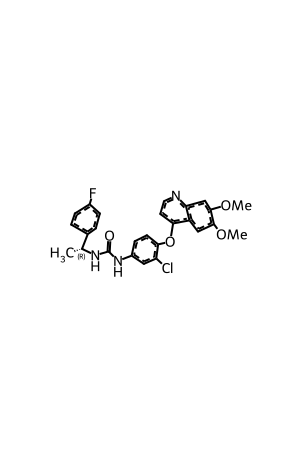 COc1cc2nccc(Oc3ccc(NC(=O)N[C@H](C)c4ccc(F)cc4)cc3Cl)c2cc1OC